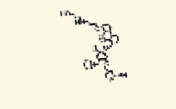 N#Cc1cncc(COc2cc(OCc3cccc(-c4cccc(OCCCNCCCO)c4Cl)c3Cl)c(Cl)cc2CN2CCCCC2)c1